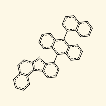 c1ccc2c(-c3c4ccccc4c(-c4cccc5c4sc4ccc6ccccc6c45)c4ccccc34)cccc2c1